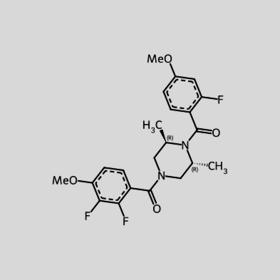 COc1ccc(C(=O)N2[C@H](C)CN(C(=O)c3ccc(OC)c(F)c3F)C[C@H]2C)c(F)c1